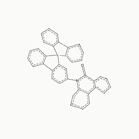 O=c1c2ccccc2c2ccccc2n1-c1ccc2c(c1)C1(c3ccccc3-c3ccccc31)c1ccccc1-2